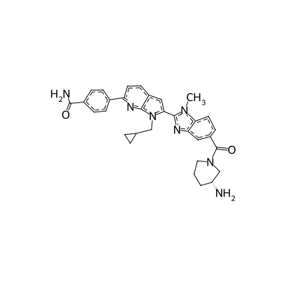 Cn1c(-c2cc3ccc(-c4ccc(C(N)=O)cc4)nc3n2CC2CC2)nc2cc(C(=O)N3CCC[C@@H](N)C3)ccc21